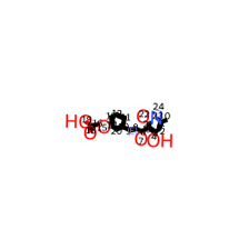 Cc1cc(O)c(C(=O)/C=C/c2cccc(OCC(=O)O)c2)c(=O)n1C